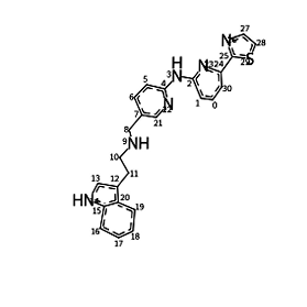 c1cc(Nc2ccc(CNCCc3c[nH]c4ccccc34)cn2)nc(-c2nccs2)c1